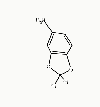 [2H]C1([2H])Oc2ccc(N)cc2O1